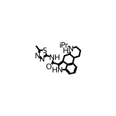 Cc1nnc(NC(=O)c2[nH]c3cccc4c3c2C[C@@H]2C4CCCN2C(C)C)s1